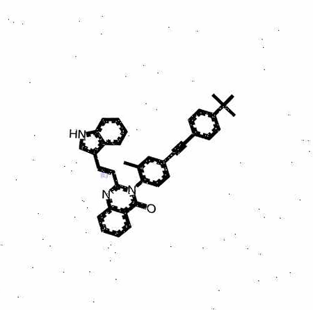 Cc1cc(C#Cc2ccc(C(C)(C)C)cc2)ccc1-n1c(/C=C/c2c[nH]c3ccccc23)nc2ccccc2c1=O